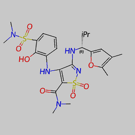 Cc1cc([C@H](NC2=NS(=O)(=O)C(C(=O)N(C)C)=C2Nc2cccc(S(=O)(=O)N(C)C)c2O)C(C)C)oc1C